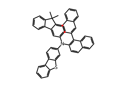 CC1(C)c2ccccc2-c2cc(N(c3ccc4c(c3)sc3ccccc34)c3ccc4ccccc4c3-c3ccc4ccccc4c3)ccc21